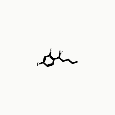 CCCCC(Br)c1ccc(F)cc1F